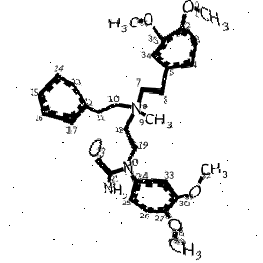 COc1ccc(CC[N+](C)(CCc2ccccc2)CCN(C(N)=O)c2ccc(OC)c(OC)c2)cc1OC